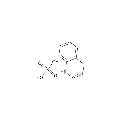 C1=CNc2ccccc2C1.O=S(=O)(O)O